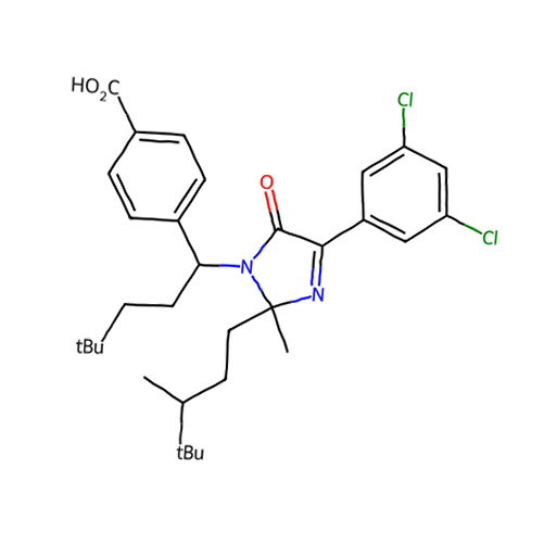 CC(CCC1(C)N=C(c2cc(Cl)cc(Cl)c2)C(=O)N1C(CCC(C)(C)C)c1ccc(C(=O)O)cc1)C(C)(C)C